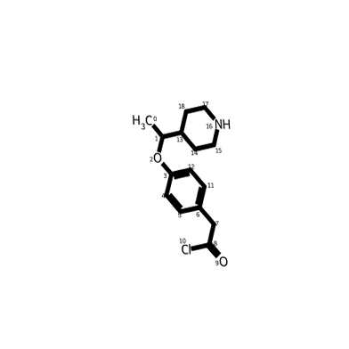 CC(Oc1ccc(CC(=O)Cl)cc1)C1CCNCC1